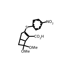 COC1(OC)CC2CC(Sc3ccc([N+](=O)[O-])cc3)=C(C(=O)O)C21